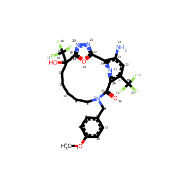 COc1ccc(CN2CCCCCC(O)(C(F)(F)F)c3nnc(o3)-c3nc(c(C(F)(F)F)cc3N)C2=O)cc1